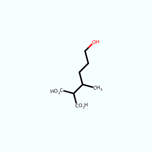 CC(CCCO)C(C(=O)O)C(=O)O